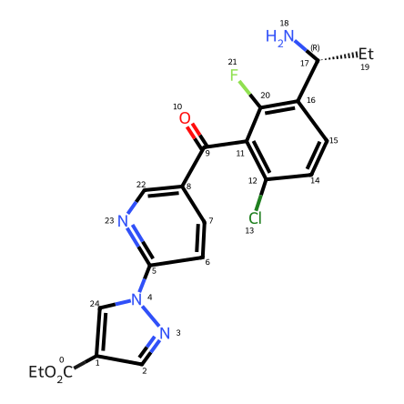 CCOC(=O)c1cnn(-c2ccc(C(=O)c3c(Cl)ccc([C@H](N)CC)c3F)cn2)c1